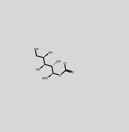 O=C[C@H](OC(=O)Cl)[C@@H](O)[C@@H](O)[C@H](O)CO